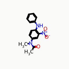 CC(=O)N(C)c1ccc(Nc2ccccc2)c([N+](=O)[O-])c1